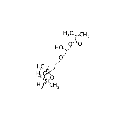 C=C(C)C(=O)OCC(O)COCCC[Si](C)(OC)O[Si](C)(C)C